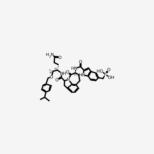 CC(C)c1ccc(CO[C@H](C)[C@H](CCC(N)=O)NC(=O)C2Cc3cccc4c3N2C(=O)[C@@H](NC(=O)c2cc3cc(CP(=O)(O)O)ccc3[nH]2)CC4)cc1